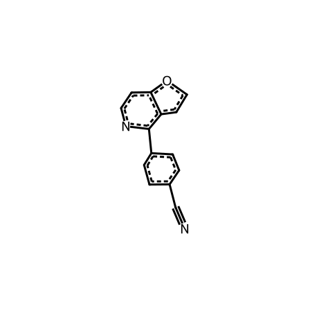 N#Cc1ccc(-c2nccc3occc23)cc1